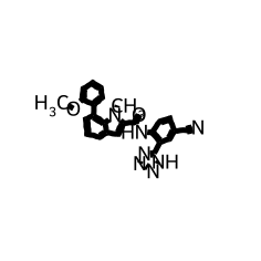 COc1ccccc1-c1cccc2cc(C(=O)Nc3ccc(C#N)cc3-c3nnn[nH]3)n(C)c12